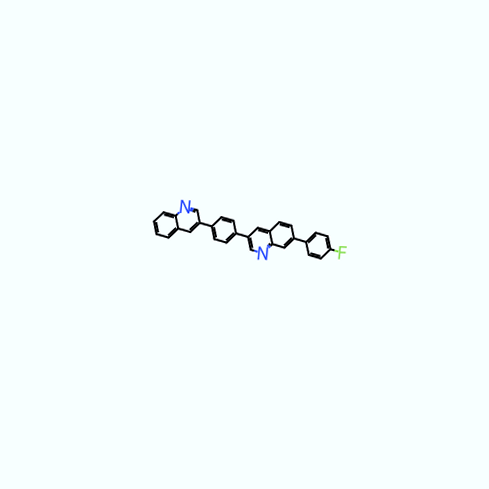 Fc1ccc(-c2ccc3cc(-c4ccc(-c5cnc6ccccc6c5)cc4)cnc3c2)cc1